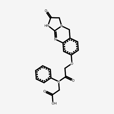 O=C(O)CN(C(=O)COc1ccc2c(c1)N=C1NC(=O)CN1C2)c1ccccc1